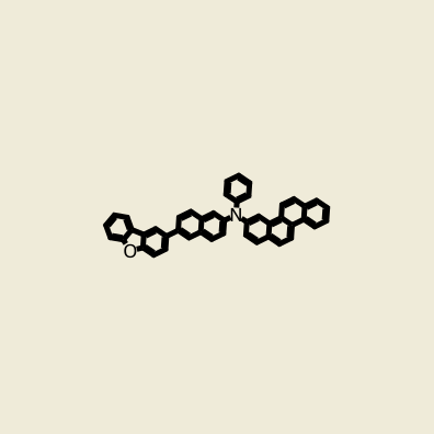 c1ccc(N(c2ccc3cc(-c4ccc5oc6ccccc6c5c4)ccc3c2)c2ccc3ccc4c5ccccc5ccc4c3c2)cc1